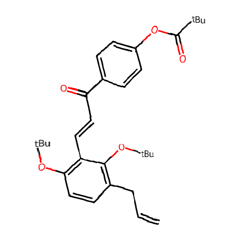 C=CCc1ccc(OC(C)(C)C)c(C=CC(=O)c2ccc(OC(=O)C(C)(C)C)cc2)c1OC(C)(C)C